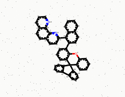 c1ccc2c(c1)Oc1c(-c3ccc4ccccc4c3-c3ccc4ccc5cccnc5c4n3)cccc1C21c2ccccc2-c2ccccc21